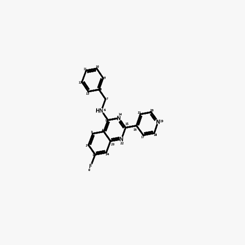 Fc1ccc2c(NCc3ccccc3)nc(-c3ccncc3)nc2c1